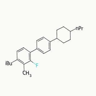 CCCC1CCC(c2ccc(-c3ccc(C(C)CC)c(C)c3F)cc2)CC1